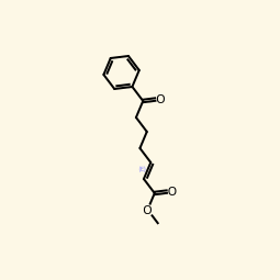 COC(=O)/C=C/CCCC(=O)c1ccccc1